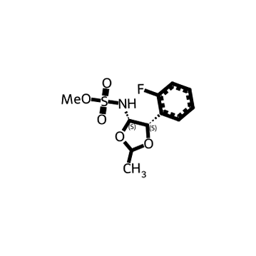 COS(=O)(=O)N[C@H]1OC(C)O[C@H]1c1ccccc1F